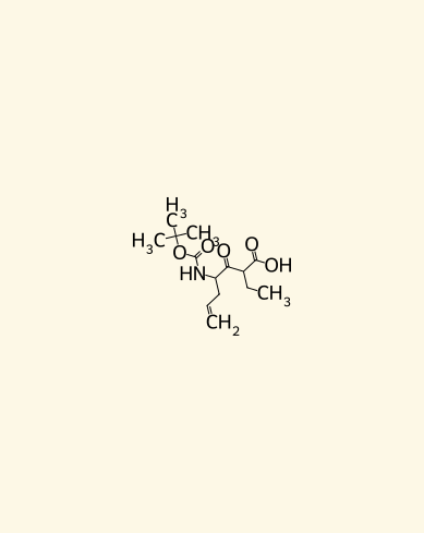 C=CCC(NC(=O)OC(C)(C)C)C(=O)C(CC)C(=O)O